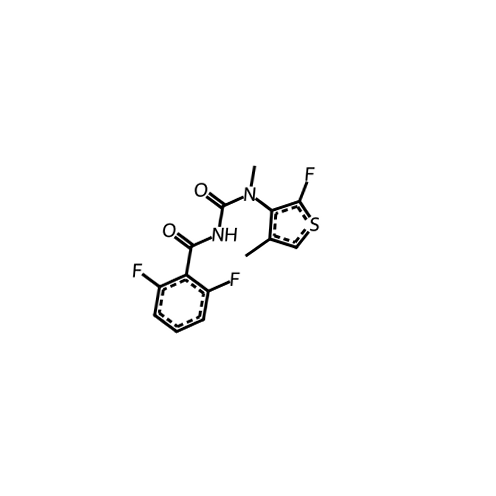 Cc1csc(F)c1N(C)C(=O)NC(=O)c1c(F)cccc1F